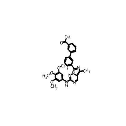 COc1cc(Nc2ncc3c(C)nc(-c4cccc(-c5cccc(C(=O)O)c5)c4)n3n2)cc(OC)c1OC